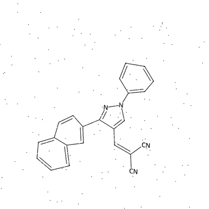 N#CC(C#N)=Cc1cn(-c2ccccc2)nc1-c1ccc2ccccc2c1